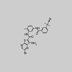 Cc1ccc(NC(=O)c2cccc(C(C)(C)C#N)c2)cc1NC(=O)c1sc2ncc(Br)nc2c1N